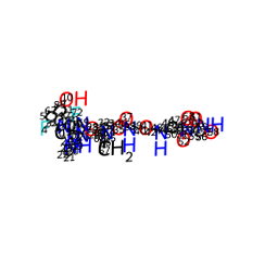 C#Cc1c(F)ccc2cc(O)cc(-c3ncc4c(N5CC6CCC(C5)N6)nc(OC[C@@]56CC[C@@H](COC(=O)NCCOCCNc7ccc8c(c7)C(=O)N(C7CCC(=O)NC7=O)C8=O)N5CC(=C)C6)nc4c3F)c12